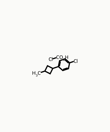 CC1CC(c2ccc(Cl)cc2)C1.O=C(O)Cl